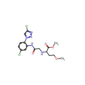 COCCC(NCC(=O)Nc1cc(Cl)ccc1-n1cc(Cl)nn1)C(=O)OC